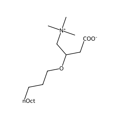 CCCCCCCCCCCOC(CC(=O)[O-])C[N+](C)(C)C